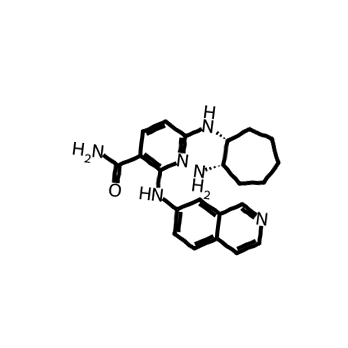 NC(=O)c1ccc(N[C@@H]2CCCCC[C@@H]2N)nc1Nc1ccc2ccncc2c1